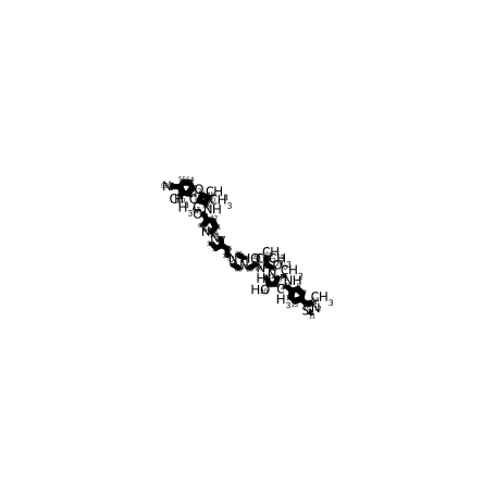 C=C(N[C@@H](C)c1ccc(-c2scnc2C)cc1)[C@@H]1C[C@@H](O)CN1C(=O)[C@@H](NC(=O)CN1CCN(CCC2CCN(c3ccc(C(=O)N[C@H]4C(C)(C)[C@H](Oc5ccc(C#N)c(Cl)c5)C4(C)C)cn3)C2)CC1)C(C)(C)C